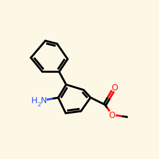 COC(=O)c1ccc(N)c(-c2ccccc2)c1